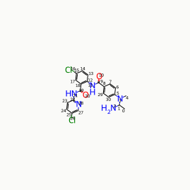 CC(N)N(C)c1ccc(C(=O)Nc2ccc(Cl)cc2C(=O)Nc2ccc(Cl)cn2)cc1